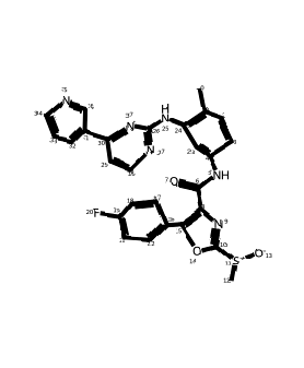 Cc1ccc(NC(=O)c2nc([S+](C)[O-])oc2-c2ccc(F)cc2)cc1Nc1nccc(-c2cccnc2)n1